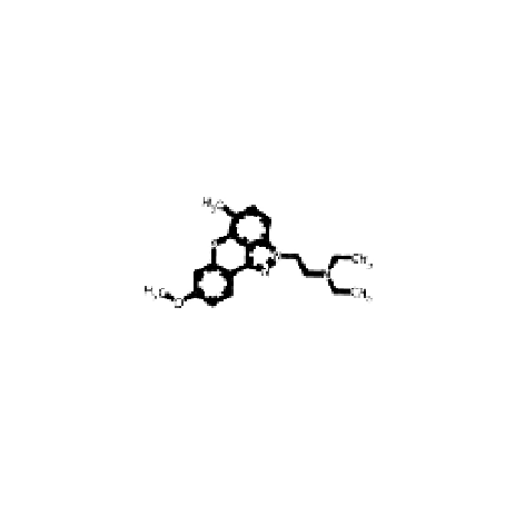 CCN(CC)CCn1nc2c3c(c(C)ccc31)Sc1cc(OC)ccc1-2